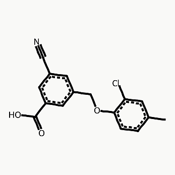 Cc1ccc(OCc2cc(C#N)cc(C(=O)O)c2)c(Cl)c1